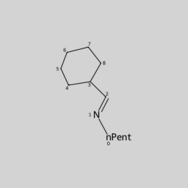 CCCCCN=CC1CCCCC1